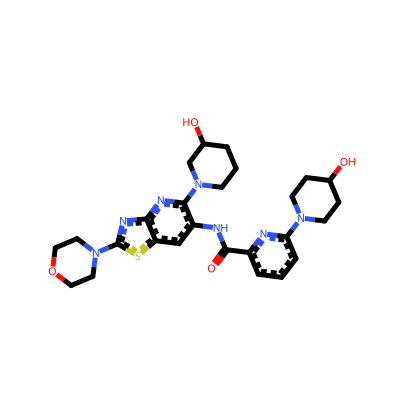 O=C(Nc1cc2sc(N3CCOCC3)nc2nc1N1CCCC(O)C1)c1cccc(N2CCC(O)CC2)n1